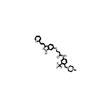 CN1CCN(Cc2ccc(NC(=O)CCSc3ccc4c(/C=C/c5ccccn5)n[nH]c4c3)cc2C(F)(F)F)CC1